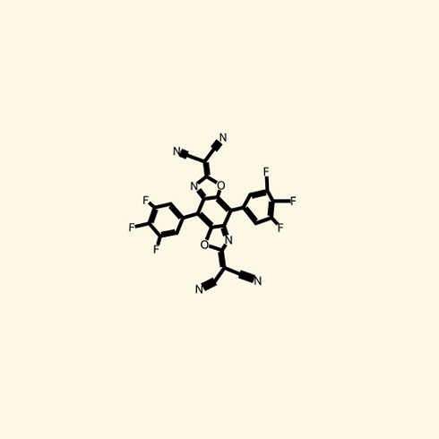 N#CC(C#N)=c1nc2c(-c3cc(F)c(F)c(F)c3)c3oc(=C(C#N)C#N)nc3c(-c3cc(F)c(F)c(F)c3)c2o1